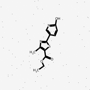 CCOC(=O)c1sc(-c2ccc(O)nc2)nc1C